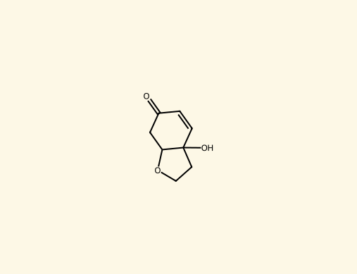 O=C1C=CC2(O)CCOC2C1